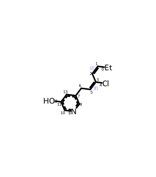 CC/C=C\C(Cl)=C/Cc1cncc(O)c1